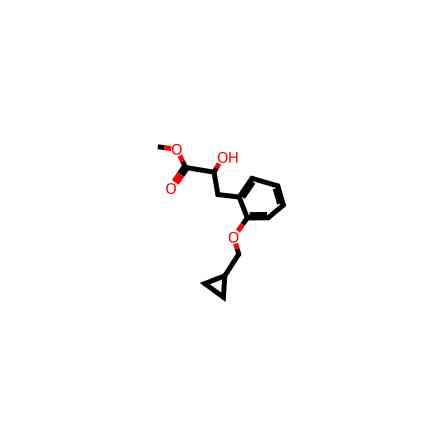 COC(=O)C(O)Cc1ccccc1OCC1CC1